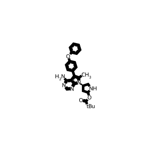 Cc1c(-c2ccc(Oc3ccccc3)cc2)c2c(N)ncnc2n1[C@H]1CNC(OC(=O)C(C)(C)C)C1